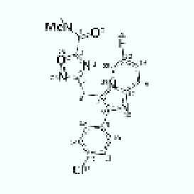 CNC(=O)c1nc(Cc2c(-c3ccc(Cl)cc3)nc3ccc(F)cn23)no1